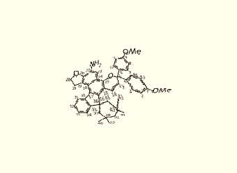 COc1ccc(C2(c3ccc(OC)cc3)C=Cc3c4c(c5c6c(c(N)cc5c3O2)OCC6)-c2ccccc2C42CC(C)(C)CC(C)(C)C2)cc1